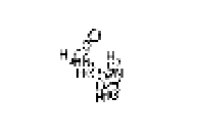 Cc1ncc(CO)c(CO)c1OCC(O)CNC(C)COc1ccccc1